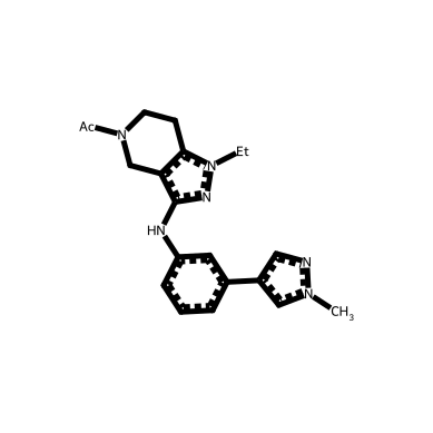 CCn1nc(Nc2cccc(-c3cnn(C)c3)c2)c2c1CCN(C(C)=O)C2